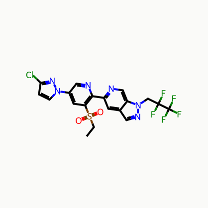 CCS(=O)(=O)c1cc(-n2ccc(Cl)n2)cnc1-c1cc2cnn(CC(F)(F)C(F)(F)F)c2cn1